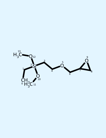 CC[Si](CCOCC1CO1)(OC)OC